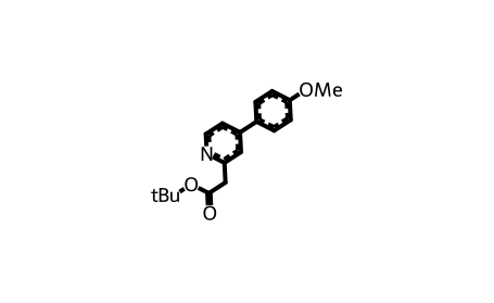 COc1ccc(-c2ccnc(CC(=O)OC(C)(C)C)c2)cc1